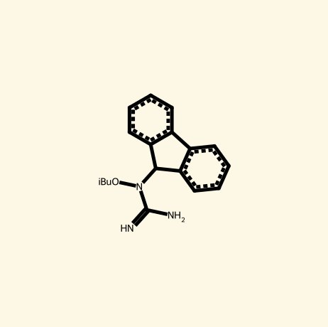 CC(C)CON(C(=N)N)C1c2ccccc2-c2ccccc21